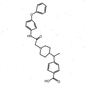 CN(c1ccc(C(=O)O)cc1)C1CCN(CC(=O)Nc2ccc(Oc3ccccc3)cc2)CC1